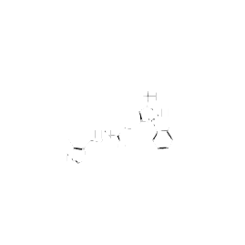 Cc1ncsc1CCNC(=O)COC1=CC(C(F)(F)F)NN1c1ccccc1Cl